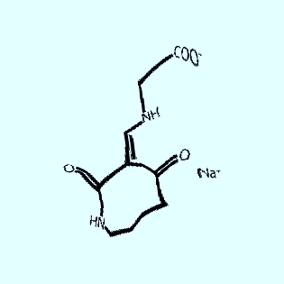 O=C([O-])CNC=C1C(=O)CCNC1=O.[Na+]